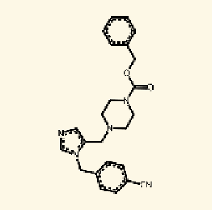 N#Cc1ccc(Cn2cncc2CN2CCN(C(=O)OCc3ccccc3)CC2)cc1